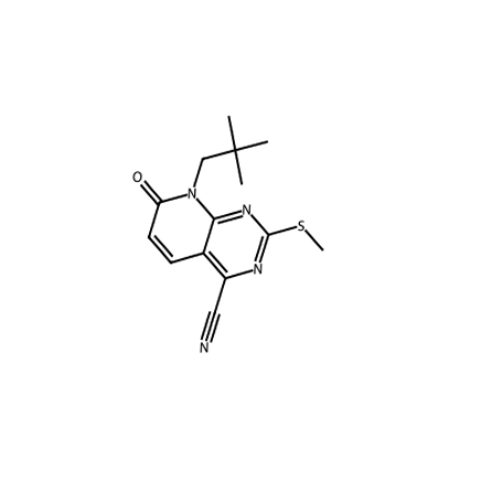 CSc1nc(C#N)c2ccc(=O)n(CC(C)(C)C)c2n1